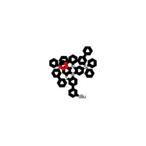 CC(C)(C)c1cccc(-c2ccc3c(c2)Sc2cc([Si](c4ccccc4)(c4ccccc4)c4cccc(-c5ccccc5)c4)cc4c2B3c2ccc([Si](c3ccccc3)(c3ccccc3)c3cccc(-c5ccccc5)c3)cc2N4c2ccccc2-c2ccccc2)c1